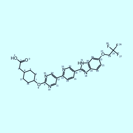 O=C(O)CC1CCC(Oc2ncc(-c3ccc(-c4nc5ccc(OCC(F)(F)F)cc5[nH]4)cn3)cn2)CC1